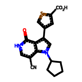 N#Cc1c[nH]c(=O)c2c(-c3csc(C(=O)O)c3)cn(C3CCCC3)c12